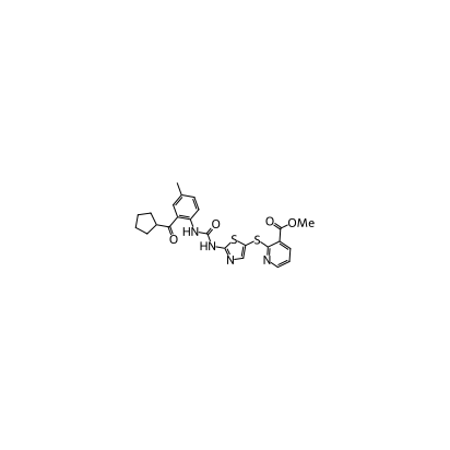 COC(=O)c1cccnc1Sc1cnc(NC(=O)Nc2ccc(C)cc2C(=O)C2CCCC2)s1